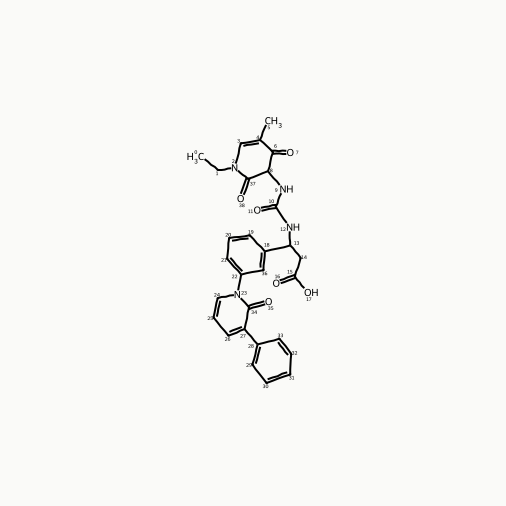 CCN1C=C(C)C(=O)C(NC(=O)NC(CC(=O)O)c2cccc(-n3cccc(-c4ccccc4)c3=O)c2)C1=O